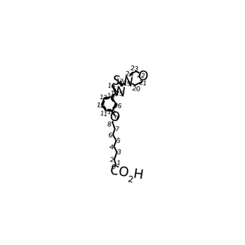 O=C(O)CCCCCCCCOc1cccc(-c2csc(N3CCOCC3)n2)c1